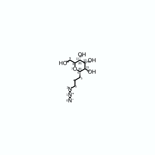 [N-]=[N+]=NCCC[C@H]1OC(CO)[C@H](O)[C@H](O)C1O